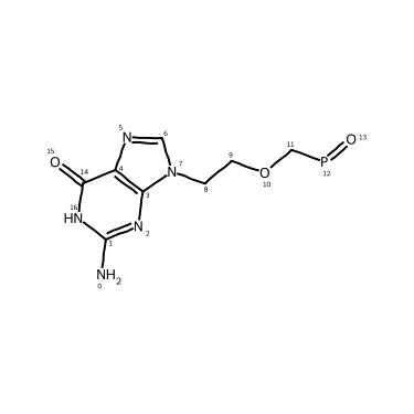 Nc1nc2c(ncn2CCOCP=O)c(=O)[nH]1